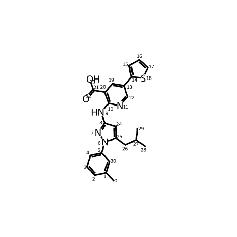 Cc1cccc(-n2nc(Nc3ncc(-c4cccs4)cc3C(=O)O)cc2CC(C)C)c1